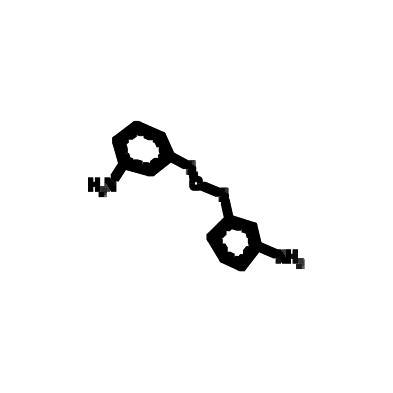 Nc1cccc(SOSc2cccc(N)c2)c1